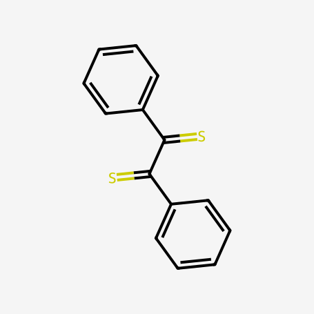 S=C(C(=S)c1ccccc1)c1ccccc1